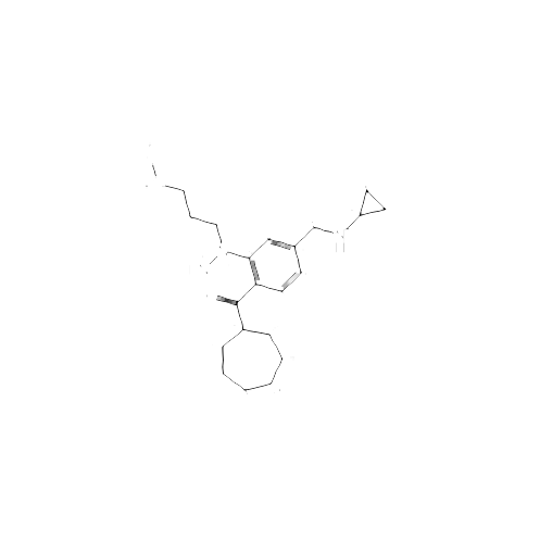 C=C(c1ccc(CNC2CC2)cc1N(N)CCCOC)C1CCCCCC1